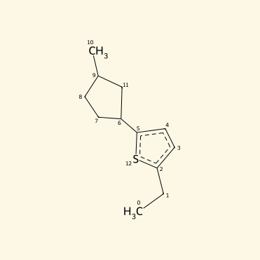 CCc1ccc(C2CCC(C)C2)s1